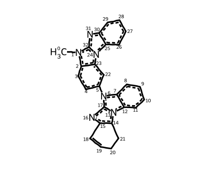 Cn1c2ccc(-n3c4ccccc4n4c5c(nc34)C=CCC5)cc2n2c3ccccc3nc12